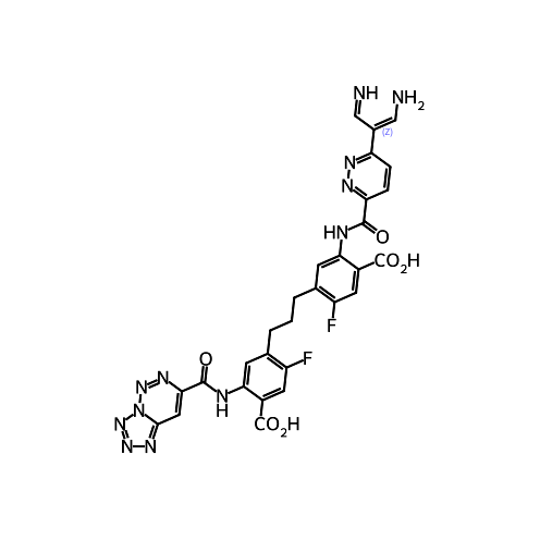 N=C/C(=C\N)c1ccc(C(=O)Nc2cc(CCCc3cc(NC(=O)c4cc5nnnn5nn4)c(C(=O)O)cc3F)c(F)cc2C(=O)O)nn1